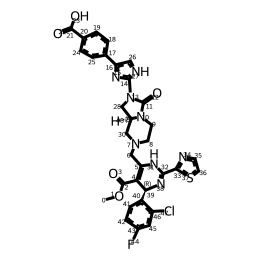 COC(=O)C1=C(CN2CCN3C(=O)N(c4nc(-c5ccc(C(=O)O)cc5)c[nH]4)C[C@@H]3C2)NC(c2nccs2)=N[C@H]1c1ccc(F)cc1Cl